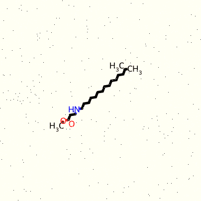 COC(=O)CCNCCCCCCCCCCCCCC(C)C